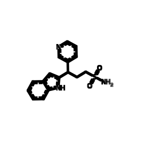 NS(=O)(=O)CCC(c1cccnc1)c1cc2ccccc2[nH]1